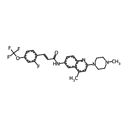 Cc1cc(N2CCN(C)CC2)nc2ccc(NC(=O)C=Cc3ccc(OC(F)(F)F)cc3F)cc12